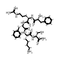 N=C(N)NCCC[C@@H](NC(=O)[C@@H](N)Cc1ccccc1)C(=O)N[C@@H](Cc1ccccc1)C(=O)N[C@@H](CCCCN)C(=O)N[C@@H](CS)C(N)=O